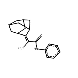 BC(C(=O)Nc1ccccc1)=C1C2CC3CC1CN(C3)C2